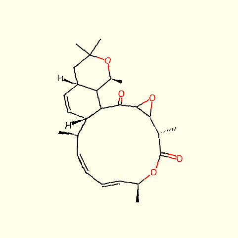 C[C@@H]1OC(C)(C)C[C@H]2C=C[C@@H]3C(C(=O)C4OC4[C@H](C)C(=O)O[C@@H](C)/C=C/C=C\[C@H]3C)C21